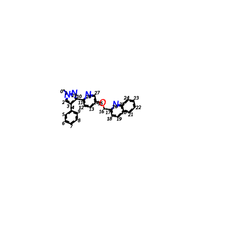 Cn1cc(-c2ccccc2)c(-c2ccc(OCc3ccc4ccccc4n3)cn2)n1